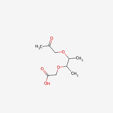 CC(=O)COC(C)C(C)OCC(=O)O